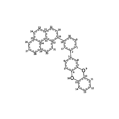 c1cc(-c2ccc3c(c2)Oc2ccccc2O3)cc(-c2ccc3ccc4cccc5ccc2c3c45)c1